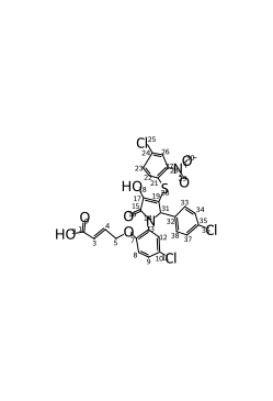 O=C(O)C=CCOc1ccc(Cl)cc1N1C(=O)C(O)=C(Sc2ccc(Cl)cc2[N+](=O)[O-])C1c1ccc(Cl)cc1